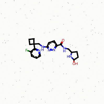 O=C(NCC1CCC(O)N1)c1ccc(NCC2(c3ncccc3F)CCC2)nn1